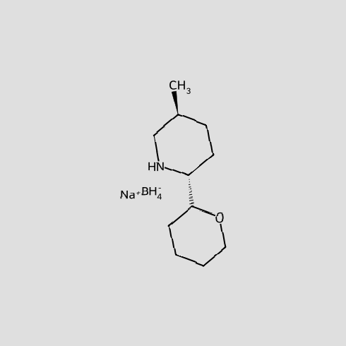 C[C@H]1CC[C@H](C2CCCCO2)NC1.[BH4-].[Na+]